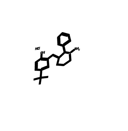 CC(C)(C)c1ccc(O)c(CC2CCCN(N)C2c2ccccc2)c1.Cl